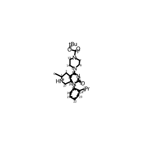 CC1Cc2c(N3CCN(C(=O)OC(C)(C)C)CC3)nc(=O)n(-c3ccccc3C(C)C)c2CN1